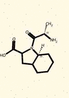 C[C@H](N)C(=O)N1C(C(=O)O)CC2CCCC[C@@H]21